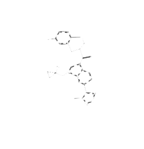 NC1(Cn2cc(C(=O)C3COc4ccc(Cl)cc4C3)c3ccc(-c4cn[nH]c4Cl)cc32)CC1